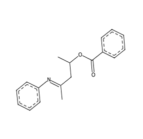 CC(CC(C)OC(=O)c1ccccc1)=Nc1ccccc1